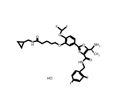 C[C@H](N)c1oc(-c2ccc(OC(F)F)c(OCCCCC(=O)NCC3CC3)c2)nc1C(=O)NCc1ccc(F)cc1F.Cl